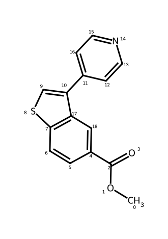 COC(=O)c1ccc2scc(-c3ccncc3)c2c1